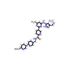 C/N=C\c1cc(Nc2cc(C)nc(-c3ccc(C(=O)NCc4ccc(-c5ccc(OC)nc5)nc4)nc3)n2)[nH]n1